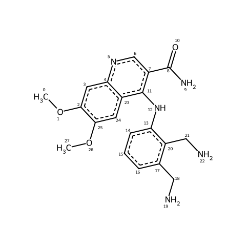 COc1cc2ncc(C(N)=O)c(Nc3cccc(CN)c3CN)c2cc1OC